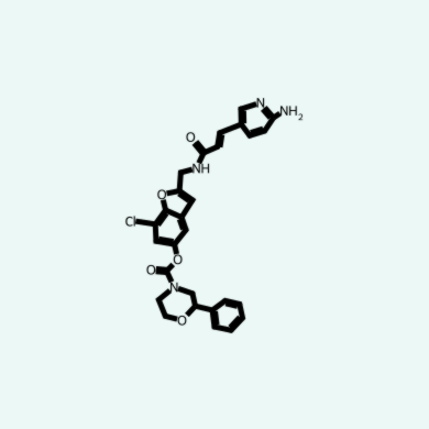 Nc1ccc(C=CC(=O)NCc2cc3cc(OC(=O)N4CCOC(c5ccccc5)C4)cc(Cl)c3o2)cn1